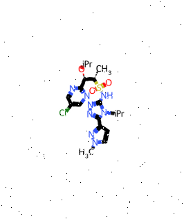 CC(C)O[C@@H](c1ncc(Cl)cn1)[C@H](C)S(=O)(=O)Nc1nnc(-c2ccn(C)n2)n1C(C)C